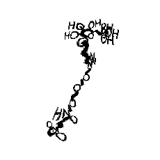 O=C(CCN1C(=O)C=CC1=O)NCCOCCOCCOCCn1cc(CCO[C@H]2O[C@H](CCP(O)(O)=P)[C@@H](O)[C@H](O)[C@@H]2O)nn1